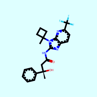 CC1(n2c(NC(=O)C[C@](C)(O)c3ccccc3)nc3ccc(C(F)(F)F)nc32)CCC1